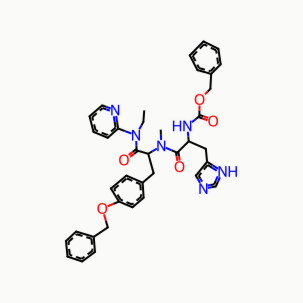 CCN(C(=O)C(Cc1ccc(OCc2ccccc2)cc1)N(C)C(=O)C(Cc1cnc[nH]1)NC(=O)OCc1ccccc1)c1ccccn1